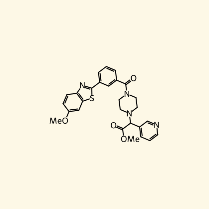 COC(=O)C(c1cccnc1)N1CCN(C(=O)c2cccc(-c3nc4ccc(OC)cc4s3)c2)CC1